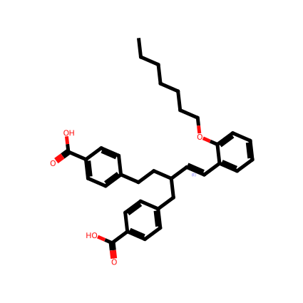 CCCCCCCOc1ccccc1/C=C/C(CCc1ccc(C(=O)O)cc1)Cc1ccc(C(=O)O)cc1